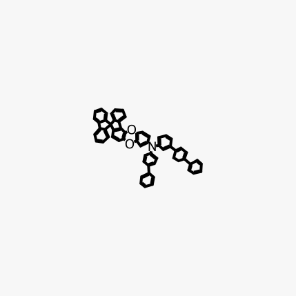 C1=C(c2ccccc2)CCC(c2cccc(N(c3ccc(-c4ccccc4)cc3)c3ccc4c(c3)Oc3ccc5c(c3O4)-c3ccccc3C53c4ccccc4-c4ccccc43)c2)=C1